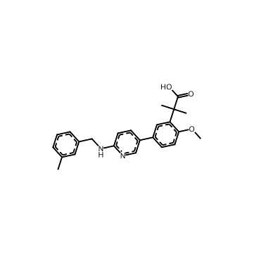 COc1ccc(-c2ccc(NCc3cccc(C)c3)nc2)cc1C(C)(C)C(=O)O